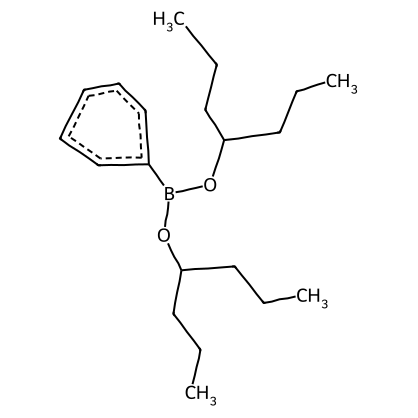 CCCC(CCC)OB(OC(CCC)CCC)c1ccccc1